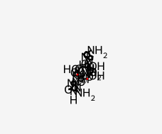 NC[C@H]1[C@H]2OP(=O)(O)OC[C@H]3O[C@@H](n4ccc5c(N)ccnc54)[C@H](O)[C@@H]3OP(=O)(O)OC[C@H]1O[C@H]2n1cnc2c(=O)[nH]c(N)nc21